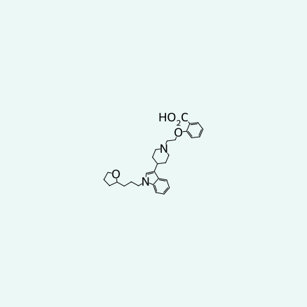 O=C(O)c1ccccc1OCCN1CCC(c2cn(CCCC3CCCO3)c3ccccc23)CC1